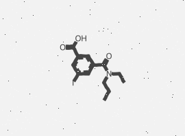 CCCN(CC)C(=O)c1cc(I)cc(C(=O)O)c1